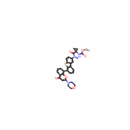 CN(C(=O)C1(NC(=O)OC(C)(C)C)CC1)c1ccc2sc3c(-c4cccc5c(=O)cc(N6CCOCC6)oc45)cccc3c2c1